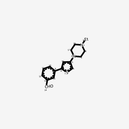 CCN1CCN(c2csc(-c3cccc(C=O)c3)c2)CC1